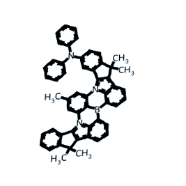 Cc1cc2c3c(c1)-n1c4c(c5cccc(c51)B3c1cccc3c5c(n-2c13)-c1ccccc1C5(C)C)C(C)(C)c1ccc(N(c2ccccc2)c2ccccc2)cc1-4